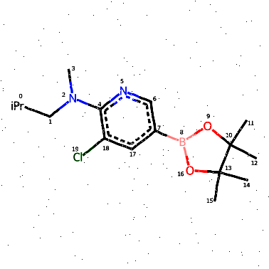 CC(C)CN(C)c1ncc(B2OC(C)(C)C(C)(C)O2)cc1Cl